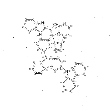 CN1c2nc3ccccc3n2-c2ccc(-n3c4ccccc4c4cc(-n5c6ccccc6c6ccccc65)ccc43)cc2C12c1ccccc1-c1ccccc12